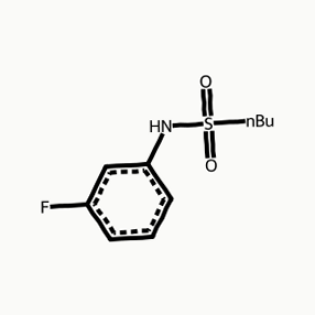 CCCCS(=O)(=O)Nc1cccc(F)c1